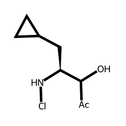 CC(=O)C(O)[C@H](CC1CC1)NCl